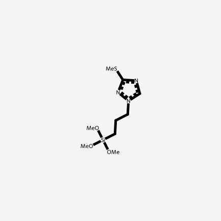 CO[Si](CCCn1cnc(SC)n1)(OC)OC